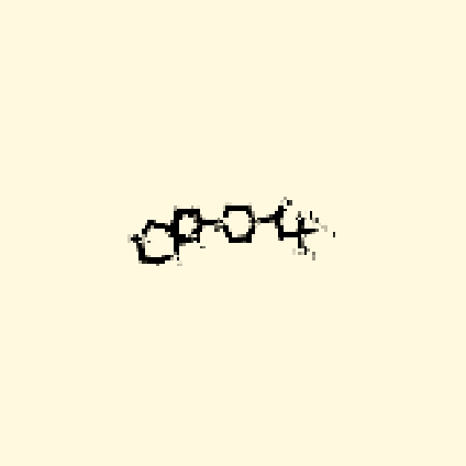 CC(C)(C)CC(=O)N1CCN(c2ccc3c(n2)OCCNC3)CC1